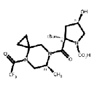 C[C@H]1CN(C(=O)C(F)(F)F)C2(CC2)CN1C(=O)[C@@]1(C(C)(C)C)C[C@@H](O)CN1C(=O)O